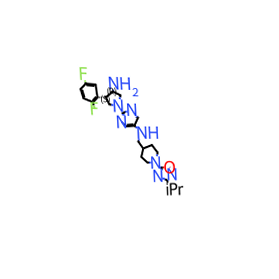 CC(C)c1noc(N2CCC(CNc3cnc(N4C[C@H](c5cc(F)ccc5F)[C@@H](N)C4)nc3)CC2)n1